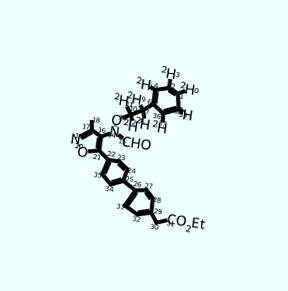 [2H]c1c([2H])c([2H])c(C([2H])([2H])C([2H])([2H])ON(C=O)c2c(C)noc2-c2ccc(-c3ccc(CC(=O)OCC)cc3)cc2)c([2H])c1[2H]